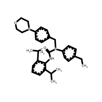 CCc1ccc(N(Cc2ccc(N3CCOCC3)cc2)C(=O)Nc2c(C(C)C)cccc2C(C)C)cc1